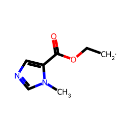 [CH2]COC(=O)c1cncn1C